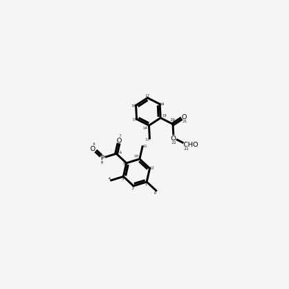 Cc1cc(C)c(C(=O)P=O)c(C)c1.Cc1ccccc1C(=O)OC=O